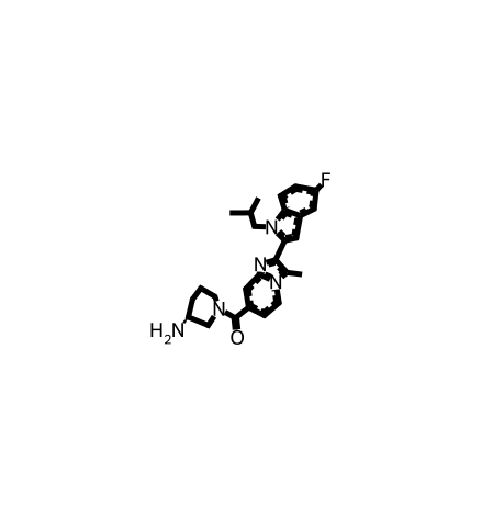 Cc1c(-c2cc3cc(F)ccc3n2CC(C)C)nc2cc(C(=O)N3CCC[C@@H](N)C3)ccn12